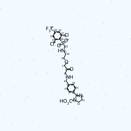 O=C(CNCc1ccc(C2=NCCN2C(=O)O)cc1)COCCNCS(=O)(=O)c1c(Cl)cc(C(F)(F)F)cc1Cl